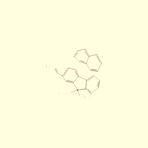 C=Cc1ccc2c(c1)C(CCCCCC)(CCCCCC)c1ccccc1-2.c1ccc2ccccc2c1